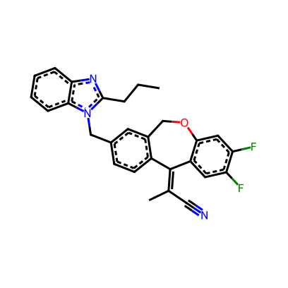 CCCc1nc2ccccc2n1Cc1ccc2c(c1)COc1cc(F)c(F)cc1C2=C(C)C#N